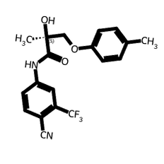 Cc1ccc(OC[C@](C)(O)C(=O)Nc2ccc(C#N)c(C(F)(F)F)c2)cc1